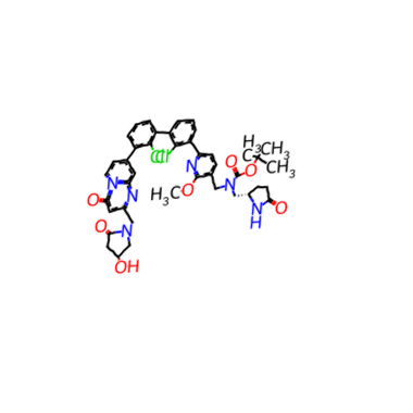 COc1nc(-c2cccc(-c3cccc(-c4ccn5c(=O)cc(CN6C[C@@H](O)CC6=O)nc5c4)c3Cl)c2Cl)ccc1CN(C[C@@H]1CCC(=O)N1)C(=O)OC(C)(C)C